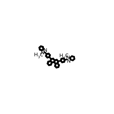 CN1C(c2ccc(-c3cc4cc(-c5ccc(-c6nc7ccccc7n6C)cc5)c5ccccc5c4c4ccccc34)cc2)=NC2C=CC=CC21